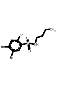 CCCCNS(=O)(=O)c1cc(Br)c(Br)cc1Br